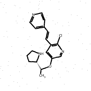 CC(Oc1cnc(Cl)c(C=Cc2ccncc2)c1)[C@@H]1CCCN1